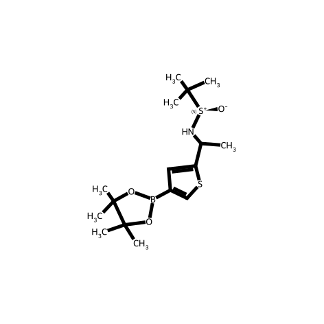 CC(N[S@+]([O-])C(C)(C)C)c1cc(B2OC(C)(C)C(C)(C)O2)cs1